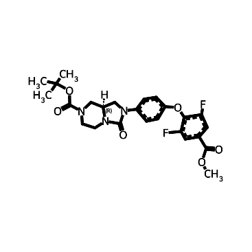 COC(=O)c1cc(F)c(Oc2ccc(N3C[C@@H]4CN(C(=O)OC(C)(C)C)CCN4C3=O)cc2)c(F)c1